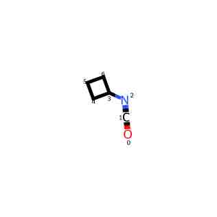 O=C=NC1CCC1